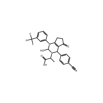 CC(C(=O)O)N1C(c2ccc(C#N)cc2)C2=C(CCC2=O)N(c2cccc(C(F)(F)F)c2)C1O